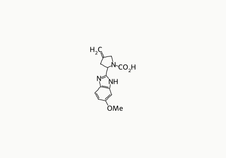 C=C1CC(c2nc3ccc(OC)cc3[nH]2)N(C(=O)O)C1